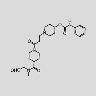 CN(CC=O)C(=O)C1CCN(C(=O)CCN2CCC(OC(=O)Nc3ccccc3)CC2)CC1